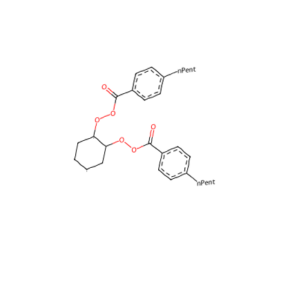 CCCCCc1ccc(C(=O)OO[C]2CC[CH]CC2OOC(=O)c2ccc(CCCCC)cc2)cc1